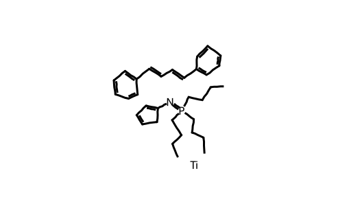 C(C=Cc1ccccc1)=Cc1ccccc1.CCCCP(CCCC)(CCCC)=NC1=CC=CC1.[Ti]